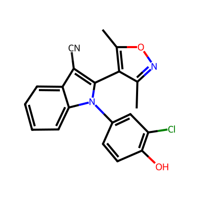 Cc1noc(C)c1-c1c(C#N)c2ccccc2n1-c1ccc(O)c(Cl)c1